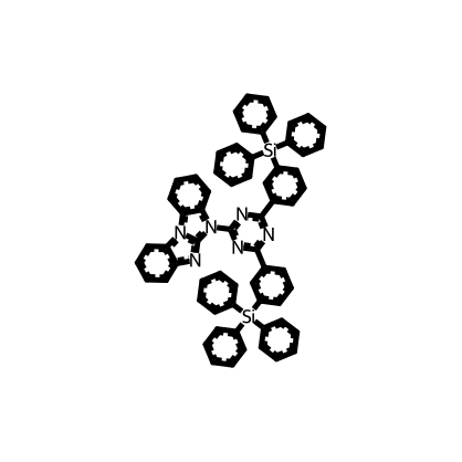 c1ccc([Si](c2ccccc2)(c2ccccc2)c2cccc(-c3nc(-c4cccc([Si](c5ccccc5)(c5ccccc5)c5ccccc5)c4)nc(-n4c5ccccc5n5c6ccccc6nc45)n3)c2)cc1